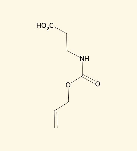 C=CCOC(=O)NCCC(=O)O